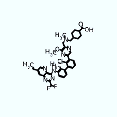 C=Cc1cnc2c(Nc3cccc(-c4cccc(-c5cnc(CN(C)CC6CCC(C(=O)O)CC6)c(OC)n5)c4Cl)c3C)nc(C(F)F)nc2c1